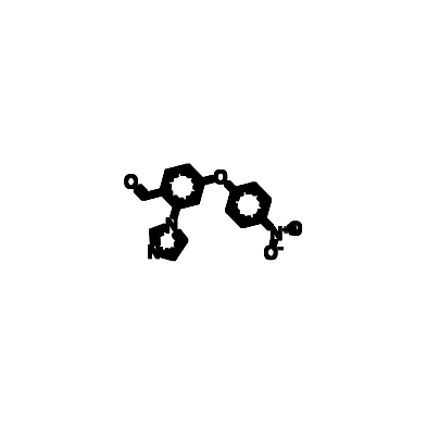 O=Cc1ccc(Oc2ccc([N+](=O)[O-])cc2)cc1-n1ccnc1